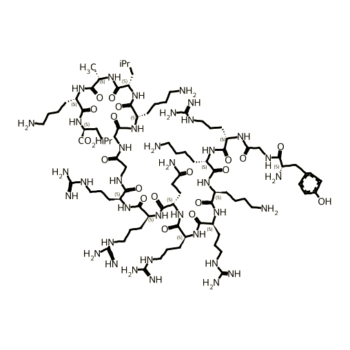 CC(C)C[C@H](NC(=O)[C@H](CCCCN)NC(=O)[C@H](C)NC(=O)[C@H](CC(C)C)NC(=O)[C@H](CCCCN)NC(=O)CNC(=O)CNC(=O)[C@H](CCCNC(=N)N)NC(=O)[C@H](CCCNC(=N)N)NC(=O)[C@H](CCC(N)=O)NC(=O)[C@H](CCCNC(=N)N)NC(=O)[C@H](CCCNC(=N)N)NC(=O)[C@H](CCCCN)NC(=O)[C@H](CCCCN)NC(=O)[C@H](CCCNC(=N)N)NC(=O)CNC(=O)[C@@H](N)Cc1ccc(O)cc1)C(=O)O